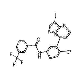 O=C(Nc1ccc(Cl)c(-c2ccnc3c(I)cnn23)c1)c1cccc(C(F)(F)F)c1